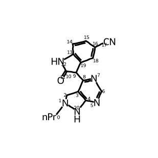 CCCN1Cc2c(ncnc2C2C(=O)Nc3ccc(C#N)cc32)N1